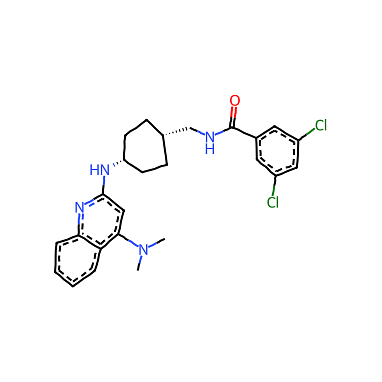 CN(C)c1cc(N[C@H]2CC[C@@H](CNC(=O)c3cc(Cl)cc(Cl)c3)CC2)nc2ccccc12